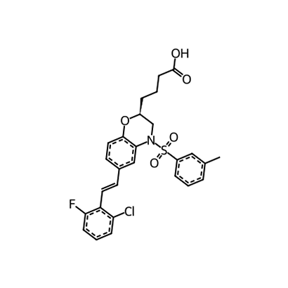 Cc1cccc(S(=O)(=O)N2C[C@H](CCCC(=O)O)Oc3ccc(/C=C/c4c(F)cccc4Cl)cc32)c1